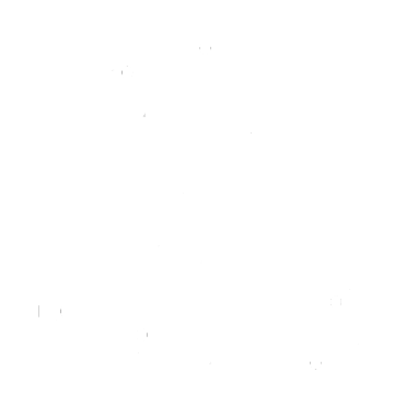 CCOc1cc2c(cc1Cc1ccc3c(c1)OCO3)OCO2